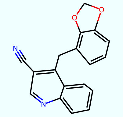 N#Cc1cnc2ccccc2c1Cc1cccc2c1OCO2